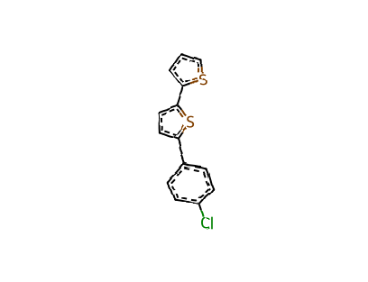 Clc1ccc(-c2ccc(-c3cccs3)s2)cc1